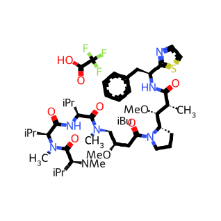 CC[C@H](C)[C@@H]([C@@H](CC(=O)N1CCC[C@H]1[C@H](OC)[C@@H](C)C(=O)N[C@@H](Cc1ccccc1)c1nccs1)OC)N(C)C(=O)[C@@H](NC(=O)[C@H](C(C)C)N(C)C(=O)[C@@H](NC)C(C)C)C(C)C.O=C(O)C(F)(F)F